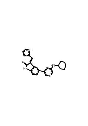 O=C1Nc2ccc(-c3cncc(NC4CCCCC4)n3)cc2/C1=C/c1ccc[nH]1